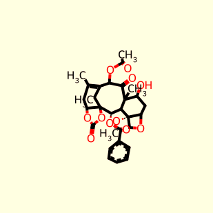 CO[C@@]12COC1CC(O)C1(C)C(=O)C(OC(C)=O)C3=C(C)CC4OC(=O)OC4(C3C)[C@@H](OC(=O)c3ccccc3)C12